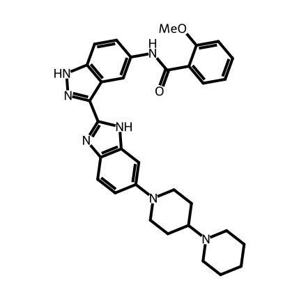 COc1ccccc1C(=O)Nc1ccc2[nH]nc(-c3nc4ccc(N5CCC(N6CCCCC6)CC5)cc4[nH]3)c2c1